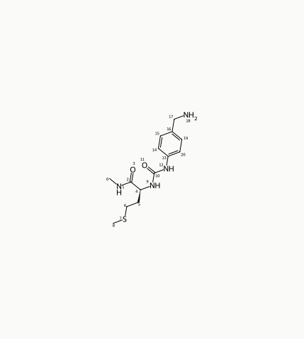 CNC(=O)[C@H](CCSC)NC(=O)Nc1ccc(CN)cc1